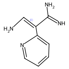 N=C(N)/C(=C/N)c1ccccn1